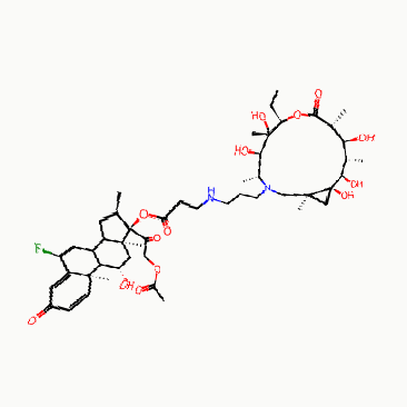 CC[C@H]1OC(=O)[C@H](C)[C@@H](O)[C@H](C)[C@@H](O)[C@]2(O)C[C@@]2(C)CN(CCCNCCC(=O)O[C@]2(C(=O)COC(C)=O)[C@H](C)CC3C4C[C@H](F)C5=CC(=O)C=C[C@]5(C)C4[C@@H](O)C[C@@]32C)[C@H](C)[C@@H](O)[C@]1(C)O